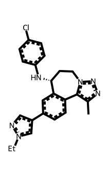 CCn1cc(-c2ccc3c(c2)[C@H](Nc2ccc(Cl)cc2)CCn2nnc(C)c2-3)cn1